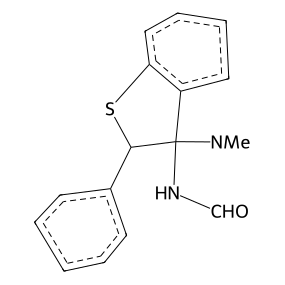 CNC1(NC=O)c2ccccc2SC1c1ccccc1